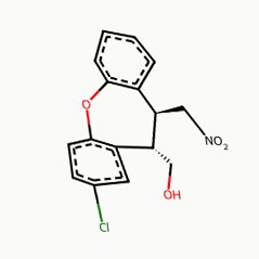 O=[N+]([O-])C[C@@H]1c2ccccc2Oc2ccc(Cl)cc2[C@H]1CO